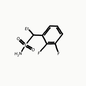 CCC(c1cccc(F)c1F)S(N)(=O)=O